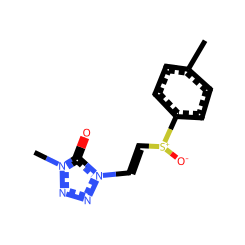 Cc1ccc([S+]([O-])/C=C/n2nnn(C)c2=O)cc1